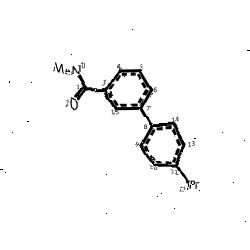 CNC(=O)c1cccc(-c2ccc(C(C)C)cc2)c1